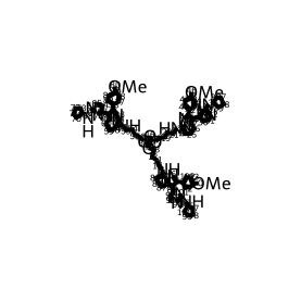 COc1ccc(-c2nn3c(NCCCCOP(=O)(OCCCCNc4cccc5c(-c6ccnc(NC7CCCC7)n6)c(-c6ccc(OC)cc6)nn45)OCCCCNc4cccc5c(-c6ccnc(NC7CCCC7)n6)c(-c6ccc(OC)cc6)nn45)cccc3c2-c2ccnc(NC3CCCC3)n2)cc1